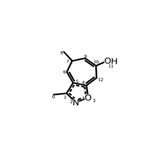 Cc1noc2c1=CC(C)C=C(O)C=2